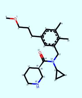 COCCCc1cc(C)c(C)c(CN(C(=O)[C@@H]2CCCNC2)C2CC2)c1